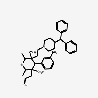 CC1NC(C)C(CCN2CCN(C(c3ccccc3)c3ccccc3)CC2)(C(=O)O)C(c2cccc([N+](=O)[O-])c2)C1(CCC#N)C(=O)O